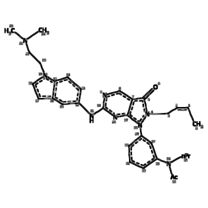 C/C=C\Cn1c(=O)c2cnc(Nc3ccc4c(ccn4CCN(C)C)c3)nc2n1-c1cccc(N(CCC)C(C)=O)c1